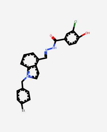 CCc1ccc(Cn2ccc3c(/C=N/NC(=O)c4ccc(O)c(Cl)c4)cccc32)cc1